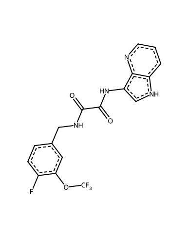 O=C(NCc1ccc(F)c(OC(F)(F)F)c1)C(=O)Nc1c[nH]c2cccnc12